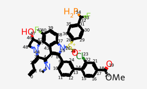 C=C/C=C(\C(=N/C)c1c(-c2cccc(-c3ccc(C(=O)OC)cc3Cl)c2)n([S+]([O-])c2ccc(C(F)P)cc2)c2ccc(F)cc12)N1CC(O)C1